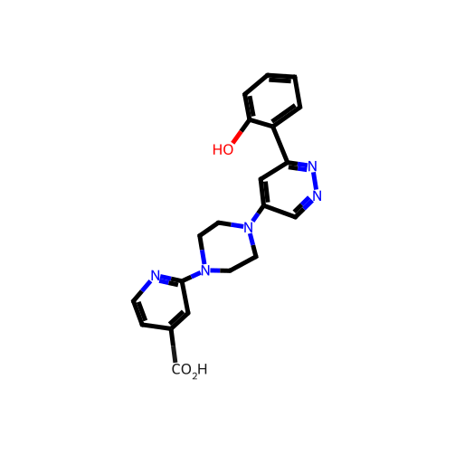 O=C(O)c1ccnc(N2CCN(c3cnnc(-c4ccccc4O)c3)CC2)c1